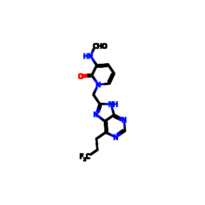 O=CNc1cccn(Cc2nc3c(CCC(F)(F)F)ncnc3[nH]2)c1=O